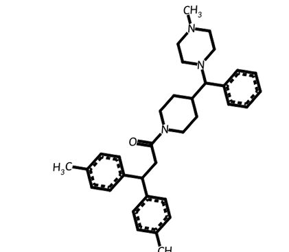 Cc1ccc(C(CC(=O)N2CCC(C(c3ccccc3)N3CCN(C)CC3)CC2)c2ccc(C)cc2)cc1